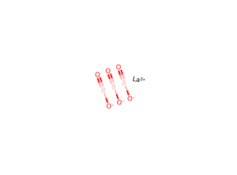 O=B[O-].O=B[O-].O=B[O-].[La+3]